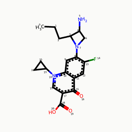 CCCC1C(N)CN1c1cc2c(cc1F)c(=O)c(C(=O)O)cn2C1CC1